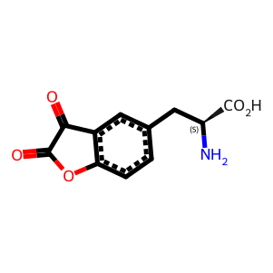 N[C@@H](Cc1ccc2c(c1)C(=O)C(=O)O2)C(=O)O